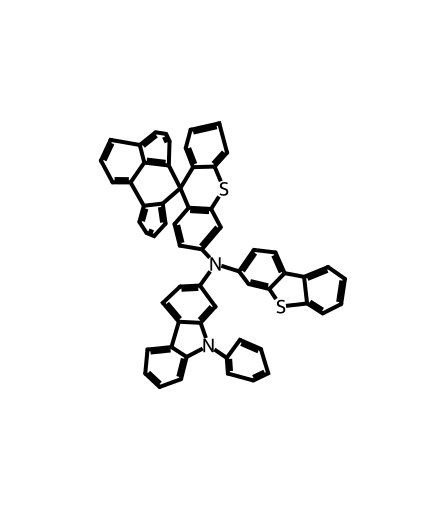 c1ccc(-n2c3ccccc3c3ccc(N(c4ccc5c(c4)Sc4ccccc4C54c5ccccc5-c5cccc6cccc4c56)c4ccc5c(c4)sc4ccccc45)cc32)cc1